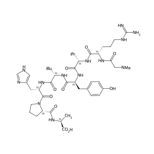 CCC(C)[C@H](NC(=O)[C@H](Cc1ccc(O)cc1)NC(=O)[C@@H](NC(=O)[C@H](CCCNC(=N)N)NC(=O)CNC)C(C)C)C(=O)N[C@@H](Cc1c[nH]cn1)C(=O)N1CCC[C@H]1C(=O)N[C@@H](C)C(=O)O